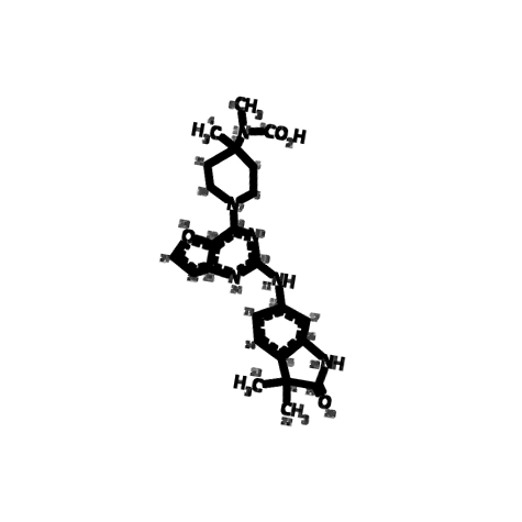 CN(C(=O)O)C1(C)CCN(c2nc(Nc3ccc4c(c3)NC(=O)C4(C)C)nc3ccoc23)CC1